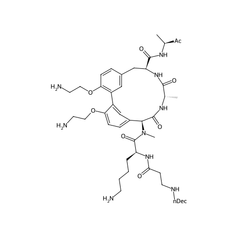 CCCCCCCCCCNCCC(=O)N[C@@H](CCCCN)C(=O)N(C)[C@@H]1C(=O)N[C@@H](C)C(=O)N[C@H](C(=O)N[C@@H](C)C(C)=O)Cc2ccc(OCCN)c(c2)-c2cc1ccc2OCCN